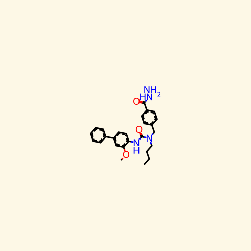 CCCCN(Cc1ccc(C(=O)NN)cc1)C(=O)Nc1ccc(-c2ccccc2)cc1OC